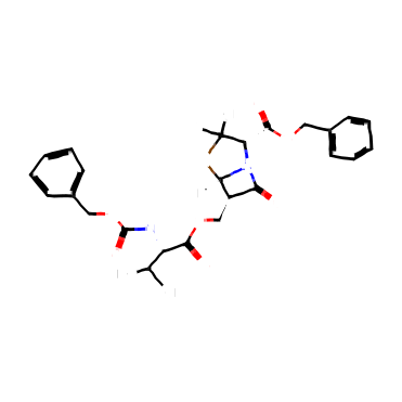 CC(C)[C@H](NC(=O)OCc1ccccc1)C(=O)OC[C@@H]1C(=O)N2[C@@H]1SC(C)(C)[C@@H]2C(=O)OCc1ccccc1